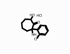 Cl.NC1(c2ccccc2Cl)CCCCC(O)C1=O